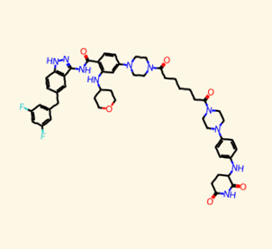 O=C1CCC(Nc2ccc(N3CCN(C(=O)CCCCCC(=O)N4CCN(c5ccc(C(=O)Nc6n[nH]c7ccc(Cc8cc(F)cc(F)c8)cc67)c(NC6CCOCC6)c5)CC4)CC3)cc2)C(=O)N1